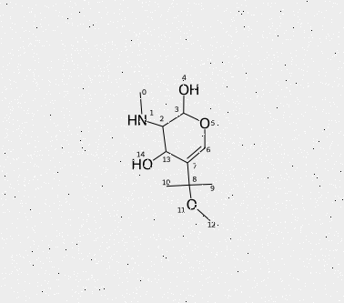 CNC1C(O)OC=C(C(C)(C)OC)C1O